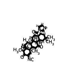 [C-]#[N+]C1=C[C@]2(C)C3=CC(=O)[C@@H]4[C@@H]5CC(C)(C)CC[C@]5(C(=O)n5ccnc5)CC[C@@]4(C)[C@]3(C)CC[C@H]2[C@H](C)C1=O